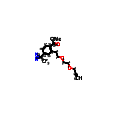 C#CCOCCOCCc1cc(C2(C(F)(F)F)N=N2)ccc1C(=O)OC